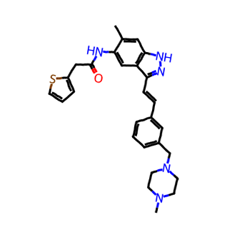 Cc1cc2[nH]nc(/C=C/c3cccc(CN4CCN(C)CC4)c3)c2cc1NC(=O)Cc1cccs1